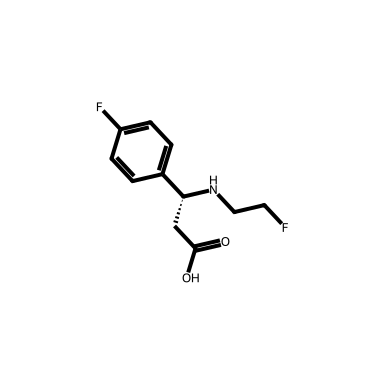 O=C(O)C[C@@H](NCCF)c1ccc(F)cc1